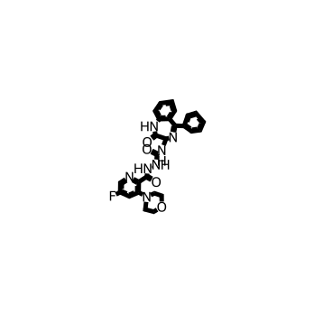 O=C(NNC(=O)c1ncc(F)cc1N1CCOCC1)NC1N=C(c2ccccc2)c2ccccc2NC1=O